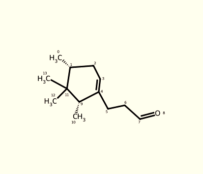 C[C@@H]1CC=C(CCC=O)[C@H](C)C1(C)C